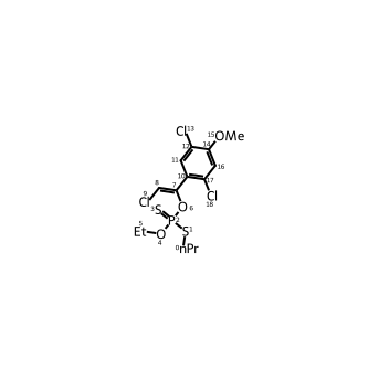 CCCSP(=S)(OCC)OC(=CCl)c1cc(Cl)c(OC)cc1Cl